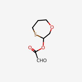 O=CC(=O)OC1COCCCS1